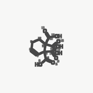 O=C(O)C1(C(=O)O)C#CCCC1(C(=O)O)C(=O)O